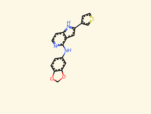 c1cc2[nH]c(-c3ccsc3)cc2c(Nc2ccc3c(c2)OCO3)n1